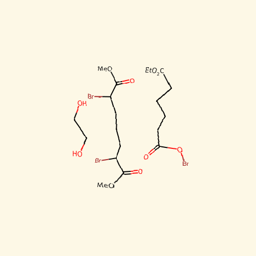 CCOC(=O)CCCCC(=O)OBr.COC(=O)C(Br)CCCC(Br)C(=O)OC.OCCO